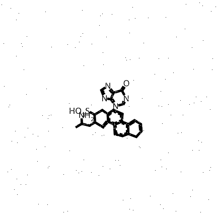 CC(N)CC1C=c2c(ccc3c4c(ccc23)CC=CC=4)CC1S(=O)(=O)O.O=C1N=CN=C2N=CN=C12